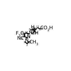 C[C@H]1CCN1c1nc(N2C[C@@H]3[C@@H](CCC(=O)O)[C@@H]3C2)cc(C(F)(F)F)c1C#N